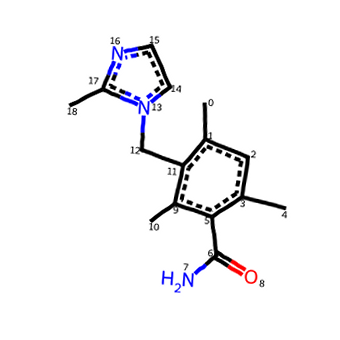 Cc1cc(C)c(C(N)=O)c(C)c1Cn1ccnc1C